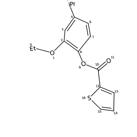 CCOc1cc(C(C)C)ccc1OC(=O)c1cccs1